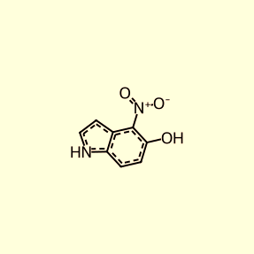 O=[N+]([O-])c1c(O)ccc2[nH]ccc12